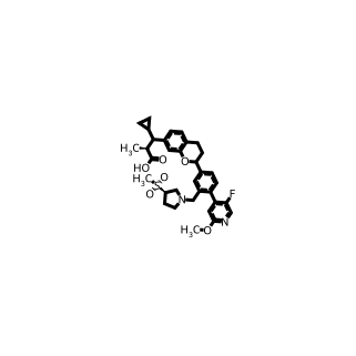 COc1cc(-c2ccc(C3CCc4ccc(C(C5CC5)[C@H](C)C(=O)O)cc4O3)cc2CN2CC[C@@H](S(C)(=O)=O)C2)c(F)cn1